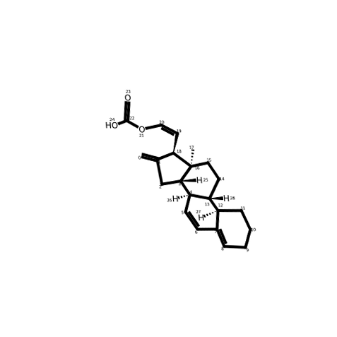 C=C1C[C@H]2[C@@H]3C=CC4=CCCC[C@@H]4[C@H]3CC[C@]2(C)[C@@H]1/C=C\OC(=O)O